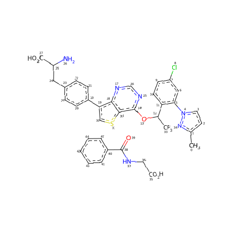 Cc1ccn(-c2cc(Cl)ccc2C(Oc2ncnc3c(-c4ccc(CC(N)C(=O)O)cc4)csc23)C(F)(F)F)n1.O=C(O)CNC(=O)c1ccccc1